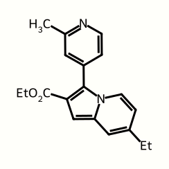 CCOC(=O)c1cc2cc(CC)ccn2c1-c1ccnc(C)c1